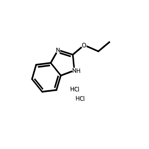 CCOc1nc2ccccc2[nH]1.Cl.Cl